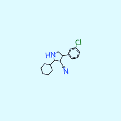 N#CC1C(c2cccc(Cl)c2)CNC1C1CCCCC1